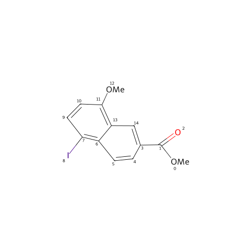 COC(=O)c1ccc2c(I)ccc(OC)c2c1